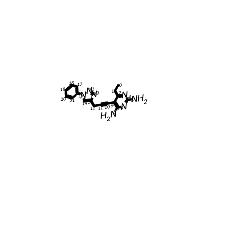 CCc1nc(N)nc(N)c1C#CCc1cn(-c2ccccc2)nn1